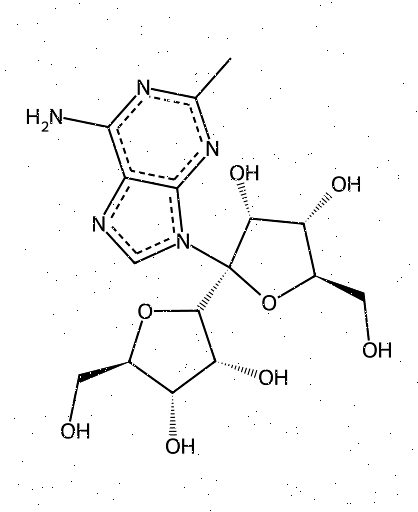 Cc1nc(N)c2ncn([C@]3(C4O[C@H](CO)[C@@H](O)[C@H]4O)O[C@H](CO)[C@@H](O)[C@H]3O)c2n1